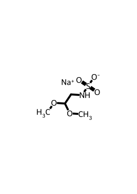 COC(CNS(=O)(=O)[O-])OC.[Na+]